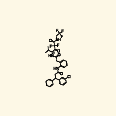 CC(C)[C@H](NC(=O)Cc1ccccc1NC(=O)CC(c1ccccc1)c1cccc(Cl)c1)C(=O)C(F)(F)C(=O)NCC(F)(F)F